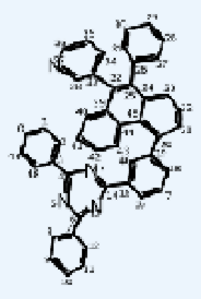 c1ccc(-c2nc(-c3ccccc3)nc(-c3cccc(-c4cccc5c(-c6ccccc6)c(-c6cccnc6)c6ccccc6c45)c3)n2)cc1